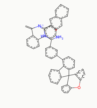 C=C(/N=C(\NC(N)c1cccc(-c2cccc3c2-c2ccccc2C32c3ccccc3Oc3ccccc32)c1)c1ccc2ccccc2c1)c1ccccc1-c1ccccc1